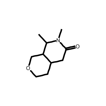 CC1C2COCCC2CC(=O)N1C